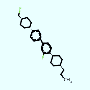 CCC[C@H]1CC[C@H](c2ccc(-c3ccc([C@H]4CC[C@H](CF)CC4)cc3)cc2F)CC1